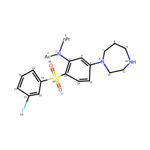 CCCN(C(C)=O)c1cc(N2CCCNCC2)ccc1S(=O)(=O)c1cccc(F)c1